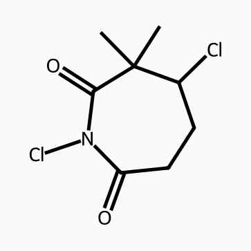 CC1(C)C(=O)N(Cl)C(=O)CCC1Cl